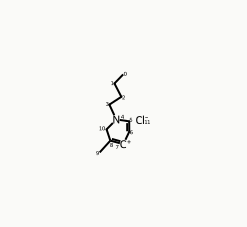 CCCCN1C=C[C+]=C(C)C1.[Cl-]